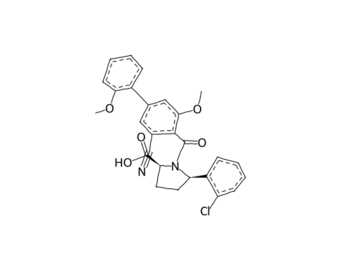 COc1ccccc1-c1cc(C#N)c(C(=O)N2[C@@H](c3ccccc3Cl)CC[C@H]2C(=O)O)c(OC)c1